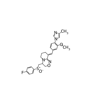 COc1cc(/C=C2\CCCN3C2=NOCC3C[S+]([O-])c2ccc(F)cc2)ccc1-n1cnc(C)c1